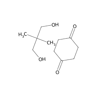 CC(C)(CO)CO.O=C1CCC(=O)CC1